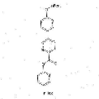 CCCCCCc1ccc(OC(=O)c2cnc(-c3ccc(OCCCCC)cc3)cn2)cc1